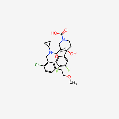 COCCc1ccc(Cl)c(CN(C(=O)[C@H]2CN(C(=O)O)CC[C@]2(O)c2ccc(F)c(F)c2)C2CC2)c1